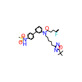 C=C(F)CCC(=O)N(CCCCCc1noc(C(C)(C)C)n1)c1cccc(-c2ccc(NS(C)(=O)=O)cc2)c1